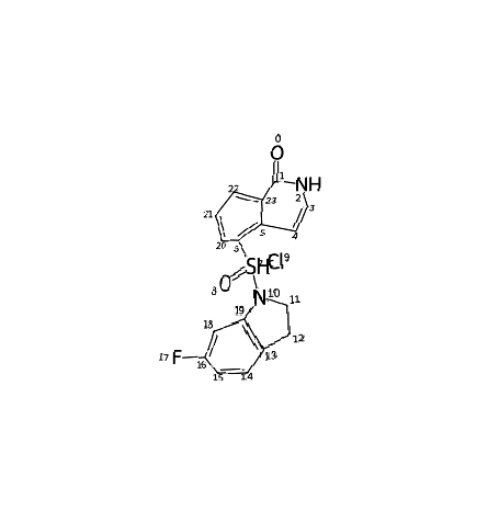 O=c1[nH]ccc2c([SH](=O)(Cl)N3CCc4ccc(F)cc43)cccc12